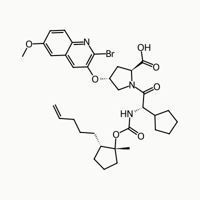 C=CCCC[C@H]1CCC[C@@]1(C)OC(=O)N[C@H](C(=O)N1C[C@H](Oc2cc3cc(OC)ccc3nc2Br)C[C@H]1C(=O)O)C1CCCC1